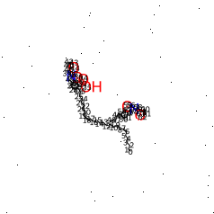 CCCCCC/C=C\CCCC(CCCCCC/C=C\CCCCCCCc1ccc2c(c1C(=O)O)OCN(Cc1ccco1)C2)CCCc1ccc2c(c1)OCN(Cc1ccco1)C2